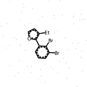 CCc1ccoc1-c1cccc(Br)c1Br